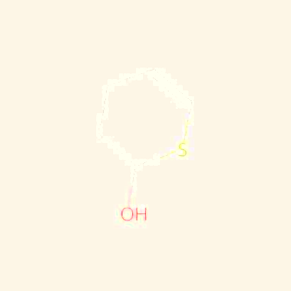 OC1CCC=CS1